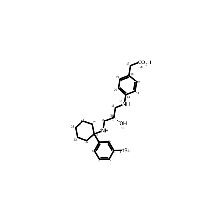 CC(C)(C)c1cccc(C2(NC[C@@H](O)CNc3ccc(CC(=O)O)cc3)CCCCC2)c1